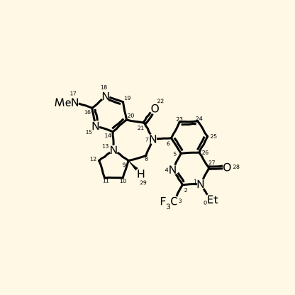 CCn1c(C(F)(F)F)nc2c(N3C[C@@H]4CCCN4c4nc(NC)ncc4C3=O)cccc2c1=O